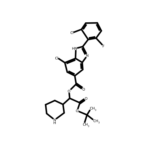 CC(C)(C)OC(=O)C(OC(=O)c1cc(Cl)c2[nH]c(-c3c(F)cccc3Cl)nc2c1)C1CCCNC1